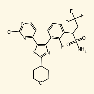 NS(=O)(=O)C(CC(F)(F)F)c1cccc(-c2nc(C3CCOCC3)sc2-c2ccnc(Cl)n2)c1F